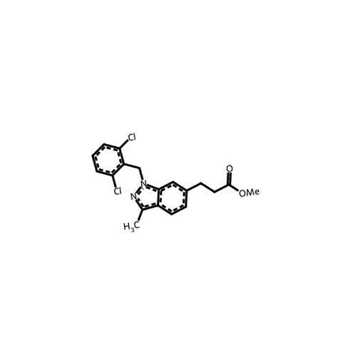 COC(=O)CCc1ccc2c(C)nn(Cc3c(Cl)cccc3Cl)c2c1